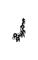 COc1ccccc1-c1cc(C)ncc1C(=O)Nc1nc2ncc(-c3ccc(CO[Si](C)(C)C(C)(C)C)cn3)nc2s1